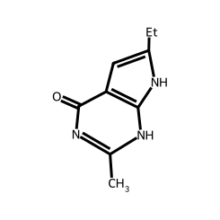 CCc1cc2c(=O)nc(C)[nH]c2[nH]1